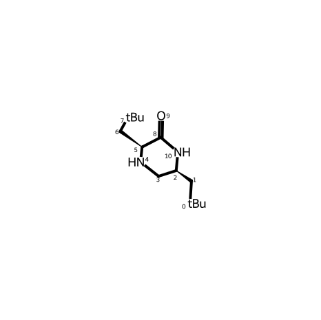 CC(C)(C)C[C@H]1CN[C@@H](CC(C)(C)C)C(=O)N1